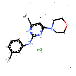 CCCc1cc(N2CCOCC2)nc(Nc2cccc(C(F)(F)F)c2)n1.Cl